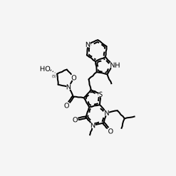 Cc1[nH]c2ccncc2c1Cc1sc2c(c1C(=O)N1C[C@H](O)CO1)c(=O)n(C)c(=O)n2CC(C)C